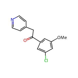 COc1cc(Cl)cc(C(=O)Cc2ccncc2)c1